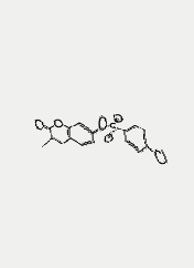 Cc1cc2ccc(OS(=O)(=O)c3ccc(Cl)cc3)cc2oc1=O